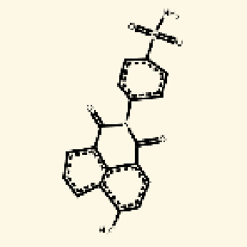 Cc1ccc2c3c(cccc13)C(=O)N(c1ccc(S(N)(=O)=O)cc1)C2=O